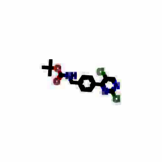 CC(C)(C)OC(=O)NCc1ccc(-c2nc(Cl)ncc2Cl)cc1